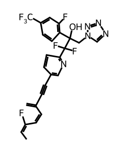 C=C(C#Cc1ccc(C(F)(F)C(O)(Cn2cnnn2)c2ccc(C(F)(F)F)cc2F)nc1)/C=C\C(F)=C/C